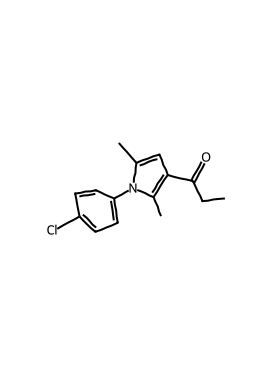 CCC(=O)c1cc(C)n(-c2ccc(Cl)cc2)c1C